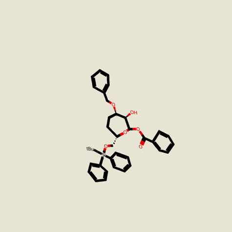 CC(C)(C)[Si](OC[C@@H]1CC[C@@H](OCc2ccccc2)[C@@H](O)C(OC(=O)c2ccccc2)O1)(c1ccccc1)c1ccccc1